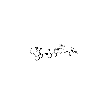 COC(=O)N[C@@H](CC/C=C/C(=O)N(C)C)C(=O)Nc1cccn(Cc2cc3cccc(OCC(F)F)c3n2C(=O)OC(C)(C)C)c1=O